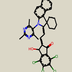 Cc1nc(C)c(N2/C(=C\C=C3/C(=O)c4c(Cl)c(Cl)c(Cl)c(Cl)c4C3O)C3(CCCCC3)c3c2ccc2ccccc32)c(C)n1